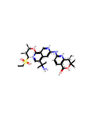 CCS(=O)(=O)C[C@@H](C)[C@@H](C)Oc1ncc(C(C)(C)N)c2cc(Nc3ccc4c(n3)[C@@H](C)C(C)(C)OC4=O)ncc12